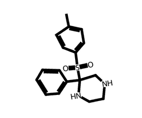 Cc1ccc(S(=O)(=O)C2(c3ccccc3)CNCCN2)cc1